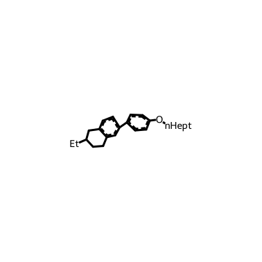 CCCCCCCOc1ccc(-c2ccc3c(c2)CCC(CC)C3)cc1